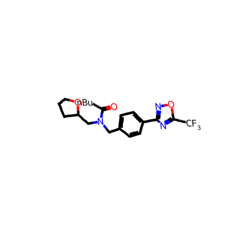 CCCCC(=O)N(Cc1ccc(-c2noc(C(F)(F)F)n2)cc1)CC1CCCO1